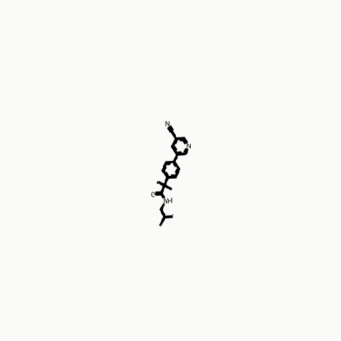 CC(C)CNC(=O)C(C)(C)c1ccc(-c2cncc(C#N)c2)cc1